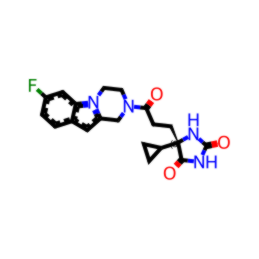 O=C1NC(=O)[C@](CCC(=O)N2CCn3c(cc4ccc(F)cc43)C2)(C2CC2)N1